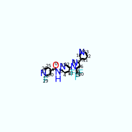 O=C(Nc1ccc(-n2nc(-c3cccnc3)cc2C(F)(F)F)cn1)c1ccnc(F)c1